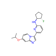 CC(C)Oc1ccn2c(-c3cccc(N[C@H]4CCC[C@@H]4F)n3)cnc2c1